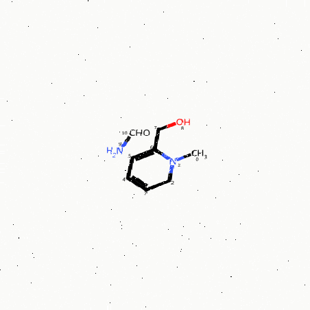 CN1CC=CC=C1CO.NC=O